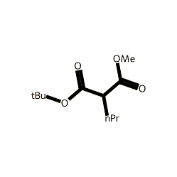 CCCC(C(=O)OC)C(=O)OC(C)(C)C